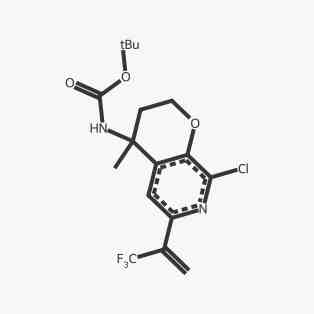 C=C(c1cc2c(c(Cl)n1)OCCC2(C)NC(=O)OC(C)(C)C)C(F)(F)F